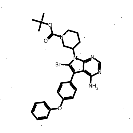 CC(C)(C)OC(=O)N1CCCC(n2c(Br)c(-c3ccc(Oc4ccccc4)cc3)c3c(N)ncnc32)C1